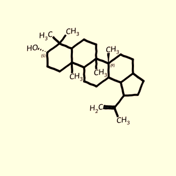 C=C(C)C1CCC2CC[C@]3(C)C(CCC4C5(C)CC[C@H](O)C(C)(C)C5CCC43C)C21